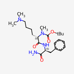 CN(C)CCCC[C@@H](C(=O)N[C@@H](Cc1ccccc1)C(N)=O)N(C)C(=O)OC(C)(C)C